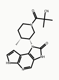 C[C@@H]1CCN(C(=O)C(C)(C)C#N)C[C@@H]1n1c(=O)[nH]c2cnc3[nH]ccc3c21